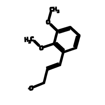 COc1cccc(C=CC[O])c1OC